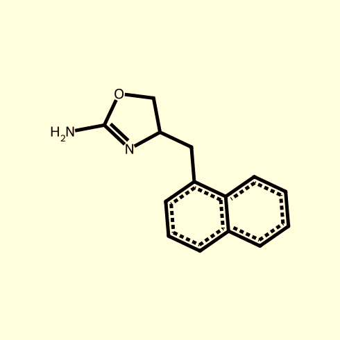 NC1=NC(Cc2cccc3ccccc23)CO1